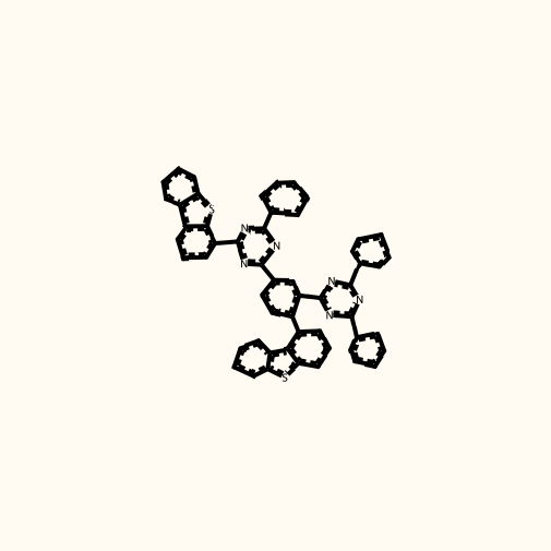 c1ccc(-c2nc(-c3ccccc3)nc(-c3cc(-c4nc(-c5ccccc5)nc(-c5cccc6c5sc5ccccc56)n4)ccc3-c3cccc4sc5ccccc5c34)n2)cc1